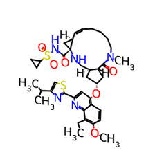 CCc1c(OC)ccc2c(O[C@@H]3C[C@H]4CN[C@]5(C(=O)NS(=O)(=O)C6CC6)C[C@H]5/C=C\CCCCN(C)C(=O)[C@@H]4C3)cc(-c3nc(C(C)C)cs3)nc12